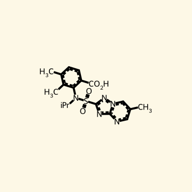 Cc1cnc2nc(S(=O)(=O)N(c3c(C(=O)O)ccc(C)c3C)C(C)C)nn2c1